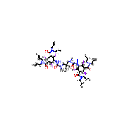 C=CCN(CC=C)C(=O)c1c(I)c(NC(=O)N(C)CC(C)(CNC)CN(C)C(=O)Nc2c(I)c(C(=O)N(CC=C)CC=C)c(I)c(C(=O)N(CC=C)CC=C)c2I)c(I)c(C(=O)N(CC=C)CC=C)c1I